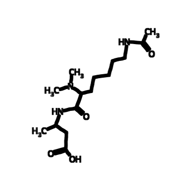 CC(=O)NCCCCCC(C(=O)NC(C)CC(=O)O)N(C)C